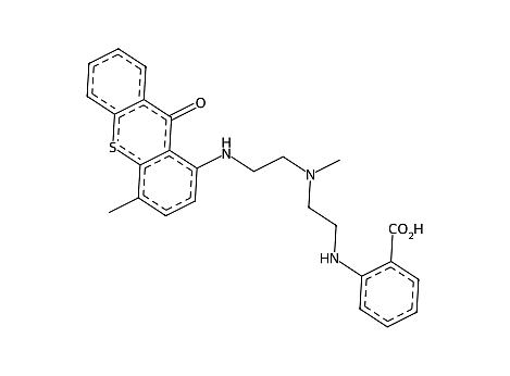 Cc1ccc(NCCN(C)CCNc2ccccc2C(=O)O)c2c(=O)c3ccccc3sc12